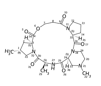 C[C@@H]1C[C@H]2C(=O)OCCC(=O)N3CCC[C@H]3C(=O)N3CCN(C)C[C@H]3C(=O)N[C@@H](C)C(=O)N2C1